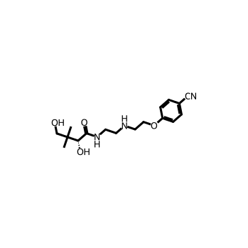 CC(C)(CO)[C@@H](O)C(=O)NCCNCCOc1ccc(C#N)cc1